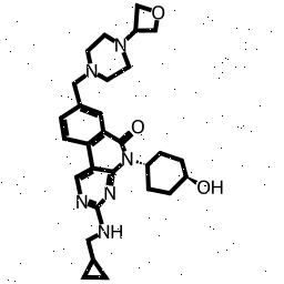 O=c1c2cc(CN3CCN(C4COC4)CC3)ccc2c2cnc(NCC3CC3)nc2n1[C@H]1CC[C@H](O)CC1